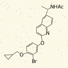 CC(=O)NC(C)c1ccc2nc(Oc3ccc(OCC4CC4)c(Br)c3)ccc2c1